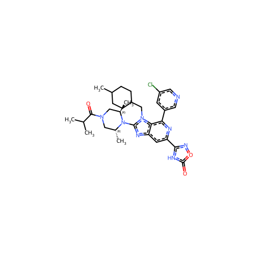 CC1CCC(Cn2c(N3[C@H](C)CN(C(=O)C(C)C)C[C@H]3C)nc3cc(-c4noc(=O)[nH]4)nc(-c4cncc(Cl)c4)c32)CC1